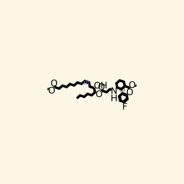 CCCCCC(OC(=O)CCNC1CCCC(C(=O)OC)[C@@H]1c1ccc(F)cc1)C(O)C/C=C\CCCCCCCC(=O)OC